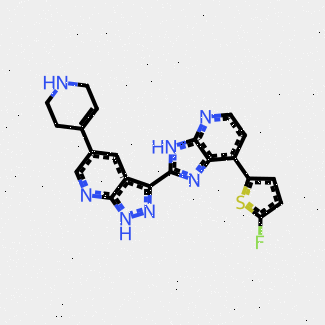 Fc1ccc(-c2ccnc3[nH]c(-c4n[nH]c5ncc(C6=CCNCC6)cc45)nc23)s1